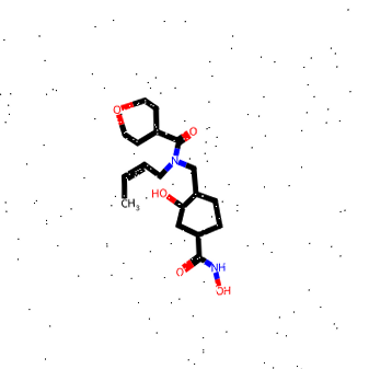 C/C=C\CN(CC1CCC(C(=O)NO)CC1O)C(=O)C1CCOCC1